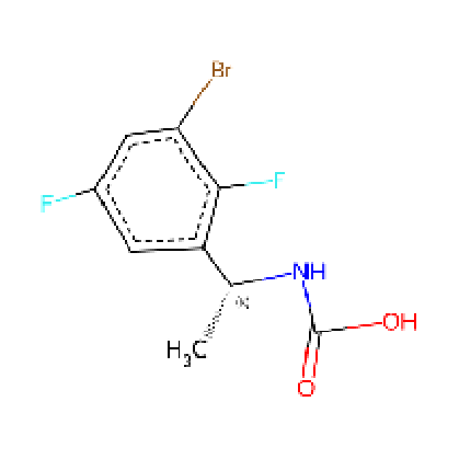 C[C@@H](NC(=O)O)c1cc(F)cc(Br)c1F